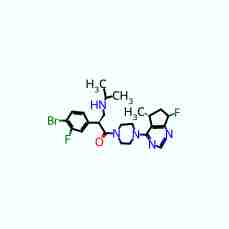 CC(C)NC[C@@H](C(=O)N1CCN(c2ncnc3c2[C@H](C)C[C@H]3F)CC1)c1ccc(Br)c(F)c1